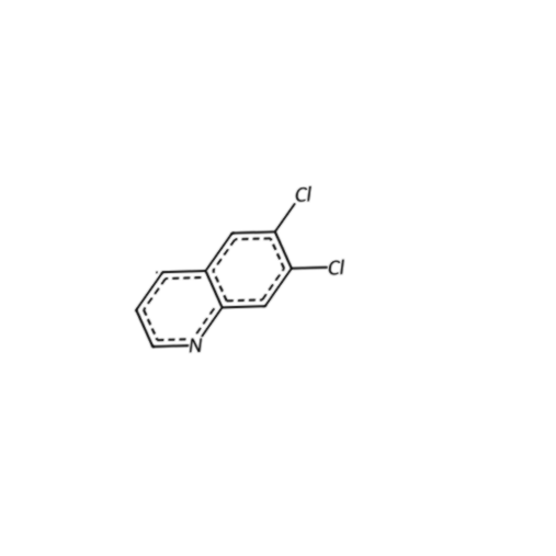 Clc1cc2[c]ccnc2cc1Cl